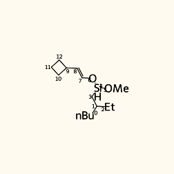 CCCCC(CC)C[SiH](OC)OC=CC1CCC1